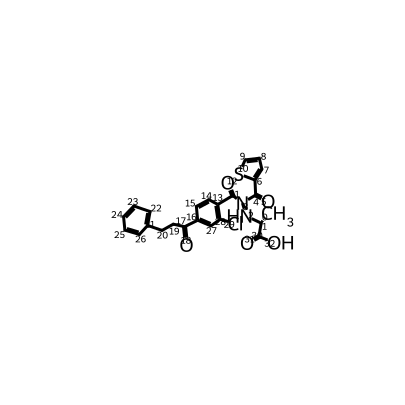 C[C@H](NN(C(=O)c1cccs1)C(=O)c1ccc(C(=O)CCc2ccccc2)cc1Cl)C(=O)O